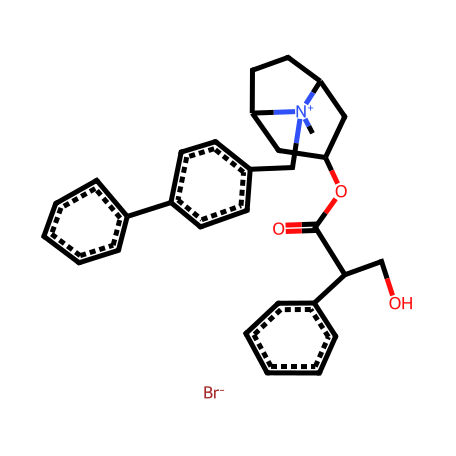 C[N+]1(Cc2ccc(-c3ccccc3)cc2)C2CCC1CC(OC(=O)C(CO)c1ccccc1)C2.[Br-]